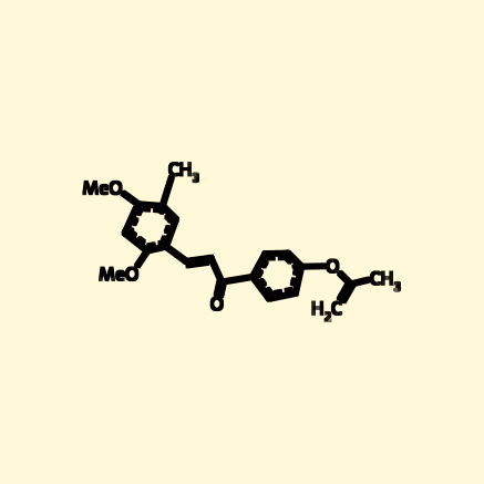 C=C(C)Oc1ccc(C(=O)/C=C/c2cc(C)c(OC)cc2OC)cc1